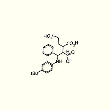 CC(C)(C)c1ccc(NC(c2ccccc2)C(C(CCC(=O)O)C(=O)O)[PH](=O)O)cc1